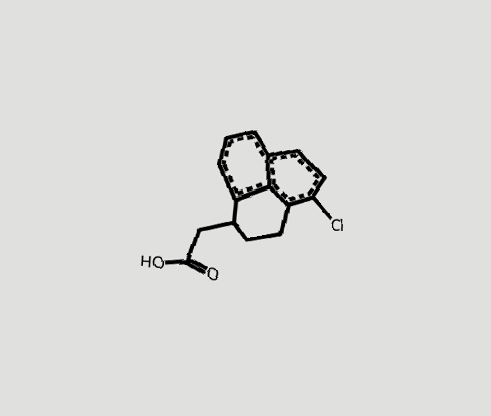 O=C(O)CC1CCc2c(Cl)ccc3cccc1c23